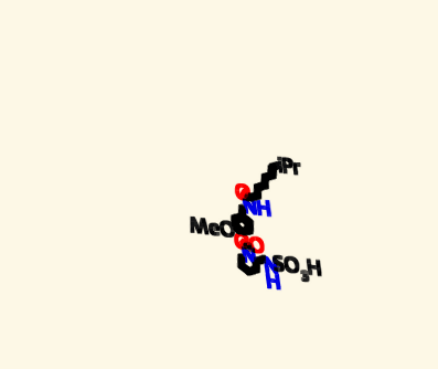 COc1cc(CNC(=O)CCCC/C=C/C(C)C)ccc1OC(=O)N1CCCCC1CNS(=O)(=O)O